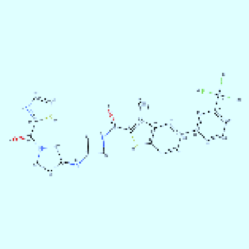 Cc1c(C(=O)N2CC(N[C@H]3CCN(C(=O)c4nccs4)C3)C2)sc2ccc(-c3cccc(C(F)(F)F)c3)cc12